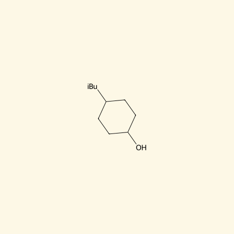 CCC(C)C1CCC(O)CC1